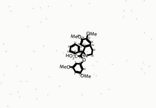 COc1cc(OC)cc(OC(C(=O)O)C2(c3ccccc3)NCCc3cc(OC)c(OC)cc32)c1